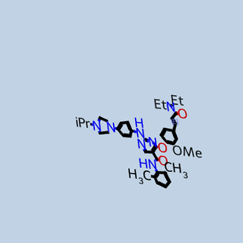 CCN(CC)C(=O)/C=C/c1ccc(Oc2nc(Nc3ccc(N4CCN(C(C)C)CC4)cc3)ncc2C(=O)Nc2c(C)cccc2C)c(OC)c1